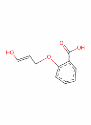 O=C(O)c1ccccc1OCC=CO